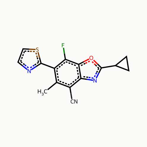 Cc1c(-c2nccs2)c(F)c2oc(C3CC3)nc2c1C#N